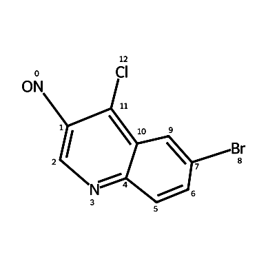 O=Nc1cnc2ccc(Br)cc2c1Cl